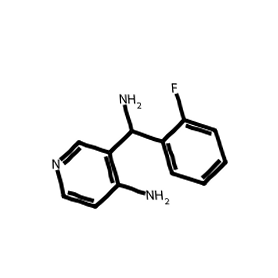 Nc1ccncc1C(N)c1ccccc1F